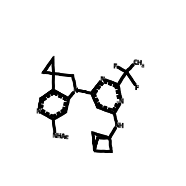 CC(=O)Nc1cc2c(cn1)C1(CC1)CN2c1cc(NC23CC(C2)C3)nc(C(C)(F)F)n1